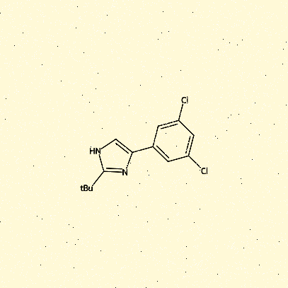 CC(C)(C)c1nc(-c2cc(Cl)cc(Cl)c2)c[nH]1